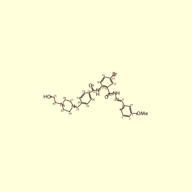 COc1cccc(/C=N/NC(=O)c2cc(Br)ccc2NC(=O)c2ccc(CN3CCN(CCO)CC3)cc2)c1